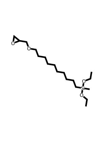 CCO[Si](C)(CCCCCCCCCCOCC1CO1)OCC